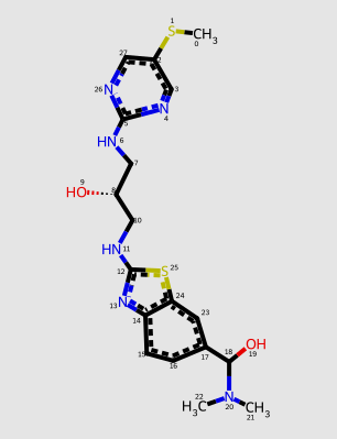 CSc1cnc(NC[C@@H](O)CNc2nc3ccc(C(O)N(C)C)cc3s2)nc1